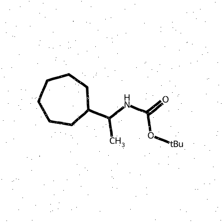 CC(NC(=O)OC(C)(C)C)C1CCCCCC1